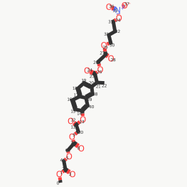 COC(=O)COCC(=O)OCC(=O)Oc1ccc2ccc(C(C)C(=O)OCC(=O)OCCCCO[N+](=O)[O-])cc2c1